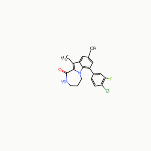 Cc1c2n(c3c(-c4ccc(Cl)c(F)c4)cc(C#N)cc13)CCCNC2=O